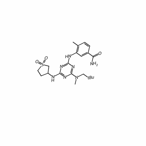 Cc1ccc(C(N)=O)cc1Nc1nc(NC2CCS(=O)(=O)C2)nc(N(C)CC(C)(C)C)n1